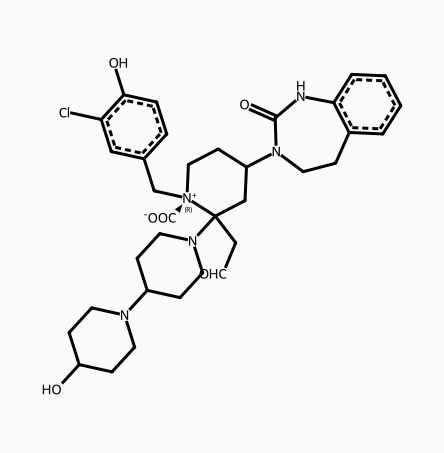 O=CCC1(N2CCC(N3CCC(O)CC3)CC2)CC(N2CCc3ccccc3NC2=O)CC[N@+]1(Cc1ccc(O)c(Cl)c1)C(=O)[O-]